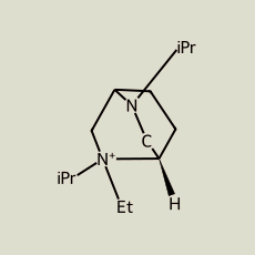 CC[N+]1(C(C)C)CC2CC[C@H]1CN2C(C)C